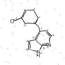 ClC1=CCCC(c2ccnc3[nH]ccc23)C1